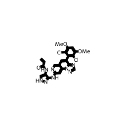 C=CC(=O)Nc1c[nH]nc1Nc1cc2c(cn1)cc(-c1c(Cl)c(OC)cc(OC)c1Cl)c1ncnn12